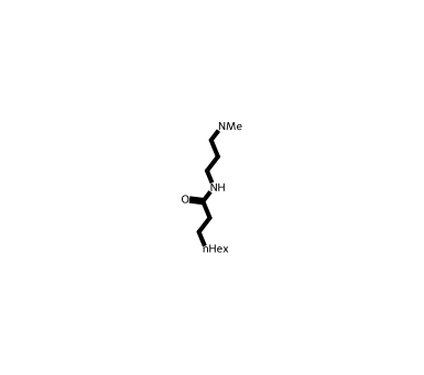 CCCCCCCCC(=O)NCCCNC